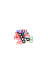 CN(C)[C@H]1C(O)=C(C(N)=O)C(=O)[C@@]2(O)C(O)=C3C(=O)c4c(O)cccc4/C(=C\c4ccc(Cl)c(Cl)c4)[C@H]3[C@H](O)[C@@H]12